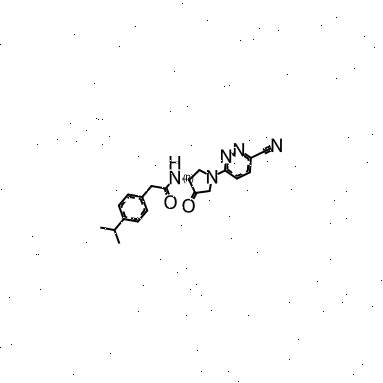 CC(C)c1ccc(CC(=O)N[C@@H]2CN(c3ccc(C#N)nn3)CC2=O)cc1